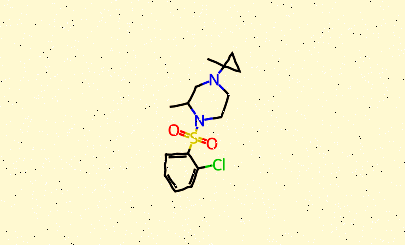 CC1CN(C2(C)CC2)CCN1S(=O)(=O)c1ccccc1Cl